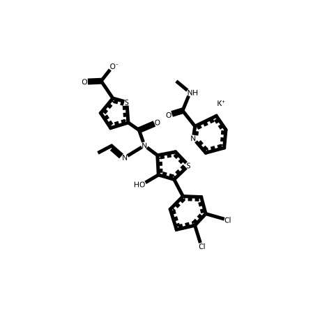 CC=NN(C(=O)c1ccc(C(=O)[O-])s1)c1csc(-c2ccc(Cl)c(Cl)c2)c1O.CNC(=O)c1ccccn1.[K+]